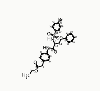 CCOC(=O)Cc1ccc(NC(=O)C(CCc2ccccc2)NS(=O)(=O)c2ccc(Br)cc2)cc1